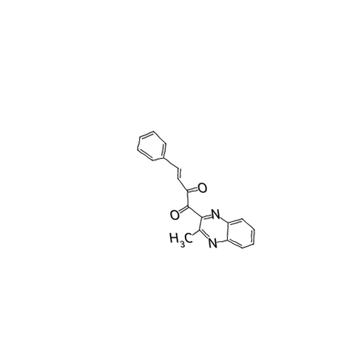 Cc1nc2ccccc2nc1C(=O)C(=O)C=Cc1ccccc1